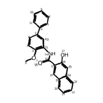 COc1ccc(-c2ccccc2)cc1NC(=O)c1cc2ccccc2cc1O